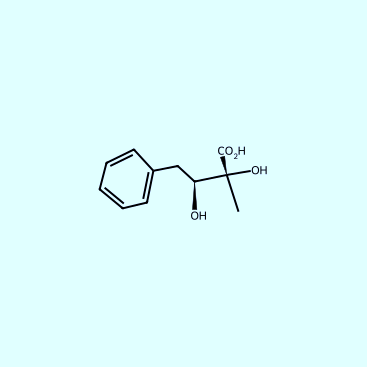 C[C@](O)(C(=O)O)[C@@H](O)Cc1ccccc1